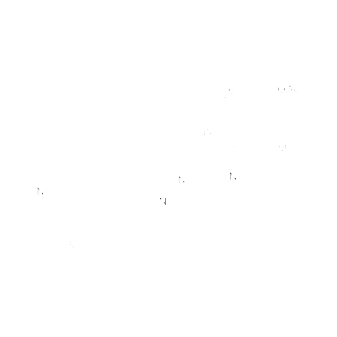 CC(=O)OC(C(=O)O)C1OCCN(c2ccn(-c3ccc(C#N)c(C(F)(F)F)c3)n2)C1=O